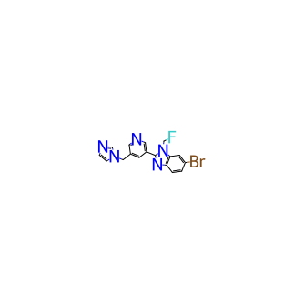 FCn1c(-c2cncc(Cn3ccnc3)c2)nc2ccc(Br)cc21